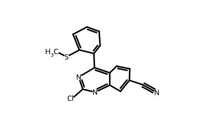 CSc1ccccc1-c1nc(Cl)nc2cc(C#N)ccc12